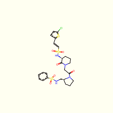 O=C1[C@@H](NS(=O)(=O)/C=C/c2ccc(Cl)s2)CCCN1CC(=O)N1CCC[C@H]1CNS(=O)(=O)c1ccccc1